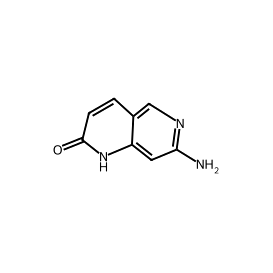 Nc1cc2[nH]c(=O)ccc2cn1